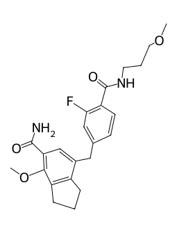 COCCCNC(=O)c1ccc(Cc2cc(C(N)=O)c(OC)c3c2CCC3)cc1F